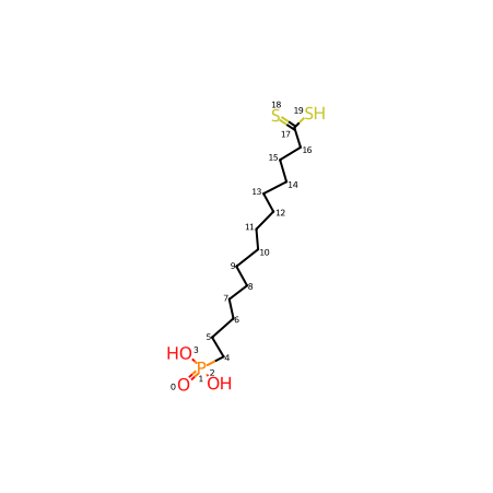 O=P(O)(O)CCCCCCCCCCCCCC(=S)S